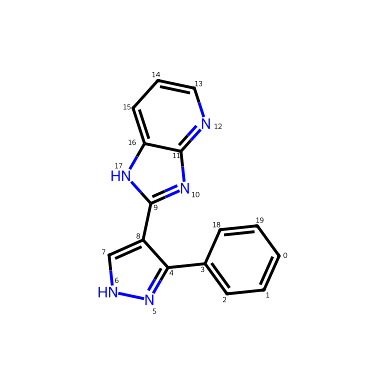 c1ccc(-c2n[nH]cc2-c2nc3ncccc3[nH]2)cc1